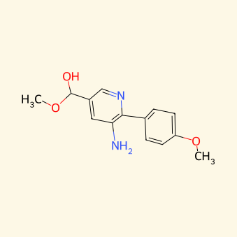 COc1ccc(-c2ncc(C(O)OC)cc2N)cc1